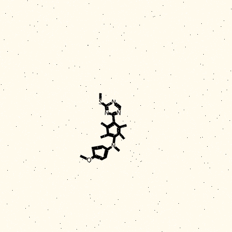 COc1ccc(N(C)c2c(C)c(C)c(-c3ncnc(SC)n3)c(C)c2C)cc1